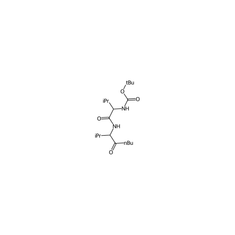 CCCCC(=O)C(NC(=O)C(NC(=O)OC(C)(C)C)C(C)C)C(C)C